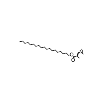 CCCCCCCCCCCCCCCCCCCOC(=O)C(C)=CN(C)C